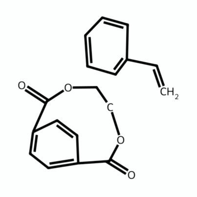 C=Cc1ccccc1.O=C1OCCOC(=O)c2ccc1cc2